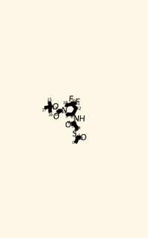 CC(=O)SCC(=O)N[C@@H]1CN(C(=O)OC(C)(C)C)CC(F)(F)C1